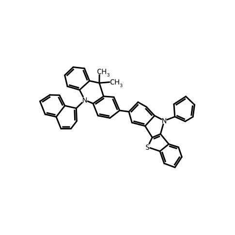 CC1(C)c2ccccc2N(c2cccc3ccccc23)c2ccc(-c3ccc4c(c3)c3sc5ccccc5c3n4-c3ccccc3)cc21